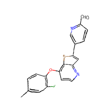 Cc1ccc(Oc2ccnc3cc(-c4ccc(C=O)nc4)sc23)c(F)c1